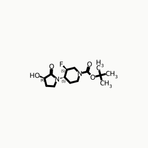 CC(C)(C)OC(=O)N1CC[C@H](N2CC[C@@H](O)C2=O)[C@@H](F)C1